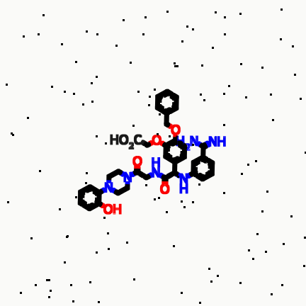 N=C(N)c1cccc(NC(C(=O)NCC(=O)N2CCN(c3ccccc3O)CC2)c2ccc(OCc3ccccc3)c(OCC(=O)O)c2)c1